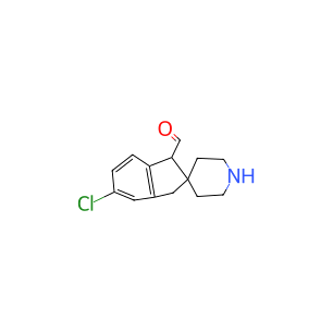 O=CC1c2ccc(Cl)cc2CC12CCNCC2